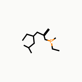 C=C(CC(CC)CC(C)C)CP(C)CC